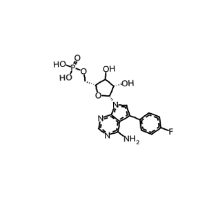 Nc1ncnc2c1c(-c1ccc(F)cc1)cn2[C@@H]1O[C@H](COP(=O)(O)O)C(O)[C@@H]1O